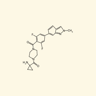 Cn1cc2ccc(-c3cc(F)c(C(=O)N4CCN(C(=O)C5(N)CC5)CC4)c(F)c3)cc2n1